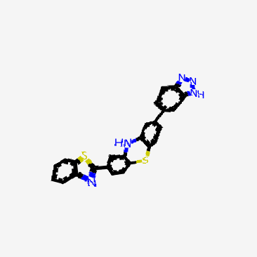 c1ccc2sc(-c3ccc4c(c3)Nc3cc(-c5ccc6nn[nH]c6c5)ccc3S4)nc2c1